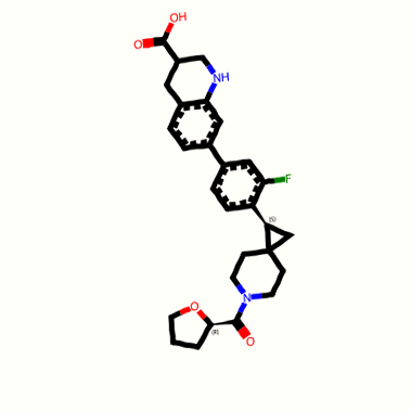 O=C(O)C1CNc2cc(-c3ccc([C@H]4CC45CCN(C(=O)[C@H]4CCCO4)CC5)c(F)c3)ccc2C1